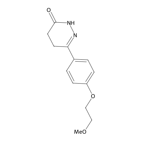 COCCOc1ccc(C2=NNC(=O)CC2)cc1